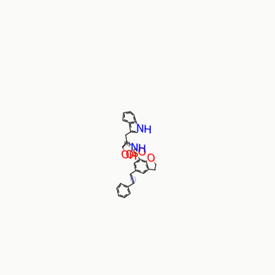 O=S(=O)(N[C@@H](CO)Cc1c[nH]c2ccccc12)c1cc(/C=C/c2ccccc2)cc2c1OCC2